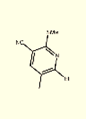 [CH2]Sc1nc(CC)c(C)cc1C#N